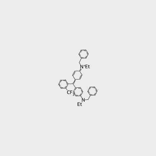 CCN(Cc1ccccc1)c1ccc(C(=C2C=CC(=[N+](CC)Cc3ccccc3)C=C2)c2ccccc2C(F)(F)F)cc1